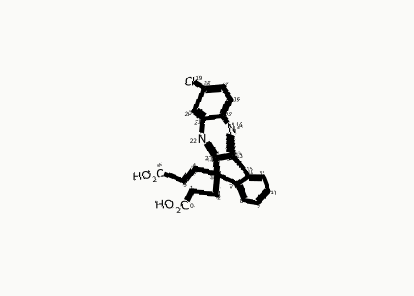 O=C(O)CCC1(CCC(=O)O)c2ccccc2-c2nc3ccc(Cl)cc3nc21